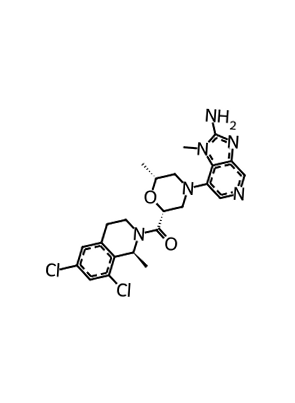 C[C@@H]1CN(c2cncc3nc(N)n(C)c23)C[C@H](C(=O)N2CCc3cc(Cl)cc(Cl)c3[C@@H]2C)O1